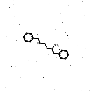 NN(CCNCc1ccccc1)Cc1ccccc1